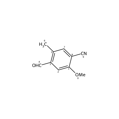 COc1cc(C=O)c(C)cc1C#N